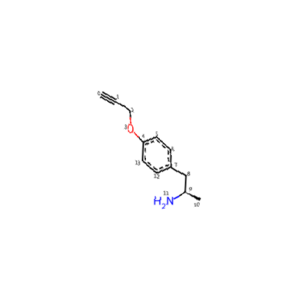 C#CCOc1ccc(C[C@@H](C)N)cc1